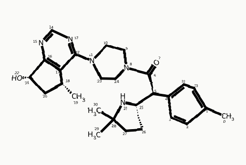 Cc1ccc([C@H](C(=O)N2CCN(c3ncnc4c3[C@H](C)C[C@@H]4O)CC2)[C@@H]2CCC(C)(C)N2)cc1